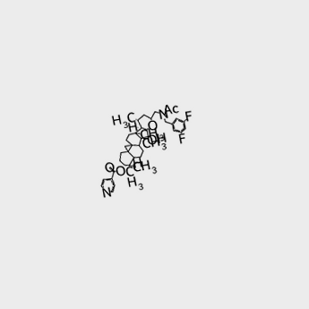 CC(=O)N(Cc1cc(F)cc(F)c1)CC1C[C@@H](C)[C@H]2C(O1)[C@H](O)[C@@]1(C)C3CC[C@H]4C(C)(C)C(OC(=O)c5ccncc5)CCC45CC35CCC21C